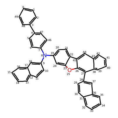 c1ccc(-c2ccc(N(c3ccc4ccccc4c3)c3ccc4c(c3)oc3c(-c5ccc6ccccc6c5)c5ccccc5cc34)cc2)cc1